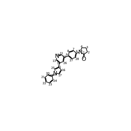 O=C1CCCN1c1ccc(-c2cncc(-c3ccn(-c4ccccc4)c3)c2)cc1